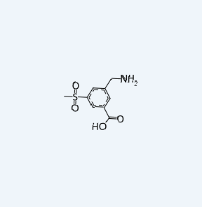 CS(=O)(=O)c1cc(CN)cc(C(=O)O)c1